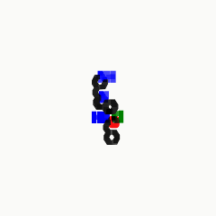 O=C(CC1CCCCC1)Nc1c(Cl)ccc2nc(CC3CCNCC3)ccc12